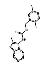 Cc1ccc(C)c(CNC(=O)Nc2c(C)sc3cnccc23)c1